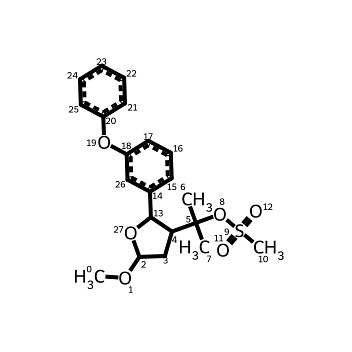 COC1CC(C(C)(C)OS(C)(=O)=O)C(c2cccc(Oc3ccccc3)c2)O1